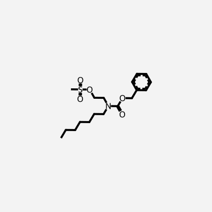 CCCCCCCN(CCOS(C)(=O)=O)C(=O)OCc1ccccc1